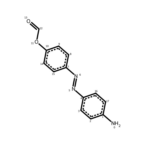 Nc1ccc(N=Nc2ccc(OC=O)cc2)cc1